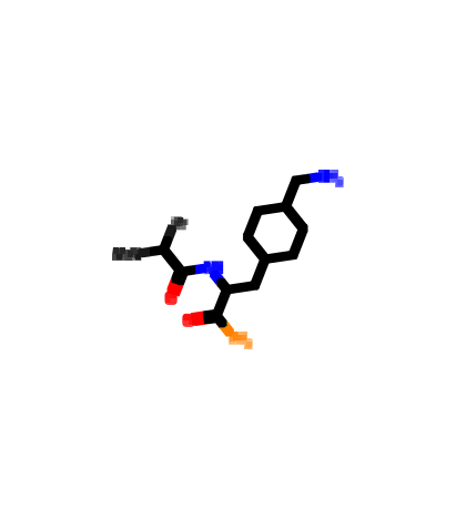 CNC(C(=O)NC(CC1CCC(CN)CC1)C(=O)P)C(C)C